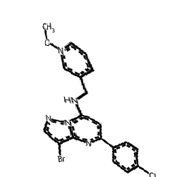 CO[n+]1cccc(CNc2cc(-c3ccc(Cl)cc3)nc3c(Br)cnn23)c1